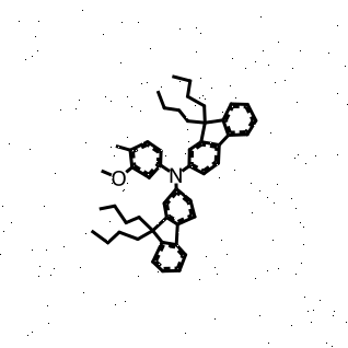 CCCCC1(CCCC)c2ccccc2-c2ccc(N(c3ccc(C)c(OC)c3)c3ccc4c(c3)C(CCCC)(CCCC)c3ccccc3-4)cc21